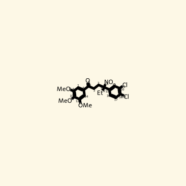 CCC(CCC(=O)c1cc(OC)c(OC)c(OC)c1)(c1ccc(Cl)c(Cl)c1)[N+](=O)[O-]